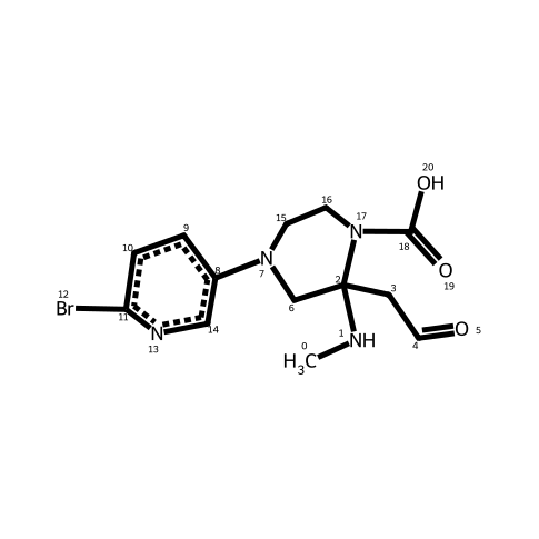 CNC1(CC=O)CN(c2ccc(Br)nc2)CCN1C(=O)O